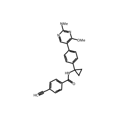 C#Cc1ccc(C(=O)NC2(c3ccc(-c4cnc(NC)nc4OC)cc3)CC2)cc1